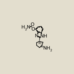 NC(=O)Oc1cccc2[nH]c([C@@H]3CCC[C@@H](N)C3)nc12